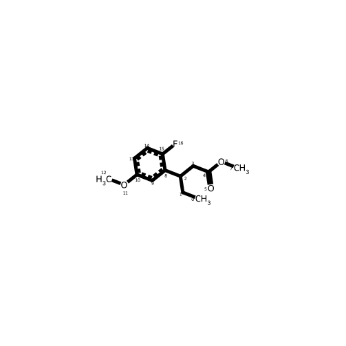 CCC(CC(=O)OC)c1cc(OC)ccc1F